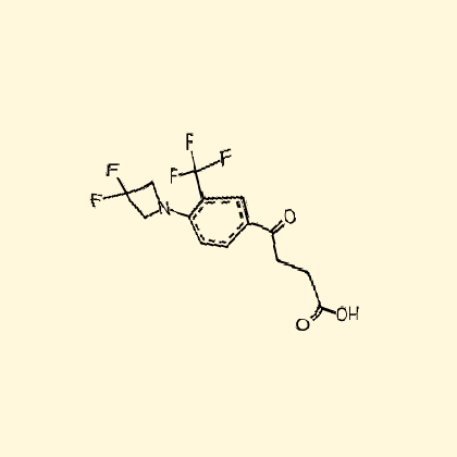 O=C(O)CCC(=O)c1ccc(N2CC(F)(F)C2)c(C(F)(F)F)c1